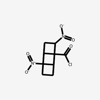 O=C(Cl)C12C3C4C5C(C1C53[N+](=O)[O-])C42[N+](=O)[O-]